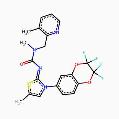 Cc1cn(-c2ccc3c(c2)OC(F)(F)C(F)(F)O3)/c(=N/C(=O)N(C)Cc2ncccc2C)s1